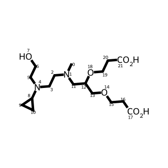 CN(CCN(CCO)C1CC1)CC(COCCC(=O)O)OCCC(=O)O